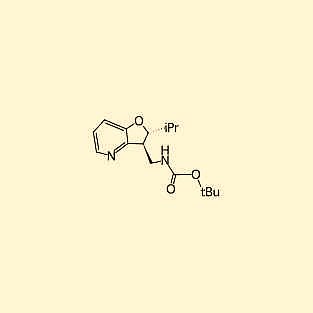 CC(C)[C@H]1Oc2cccnc2[C@@H]1CNC(=O)OC(C)(C)C